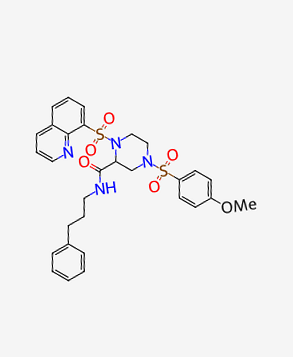 COc1ccc(S(=O)(=O)N2CCN(S(=O)(=O)c3cccc4cccnc34)C(C(=O)NCCCc3ccccc3)C2)cc1